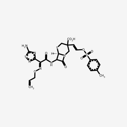 C=CCON=C(C(=O)NC1C(=O)N2CC(C=COS(=O)(=O)c3ccc(C)cc3)(C(=O)O)CS[C@H]12)c1nsc(N)n1